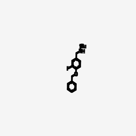 CC(C)(C)NCc1ccc(OCc2ccccc2)c(F)c1